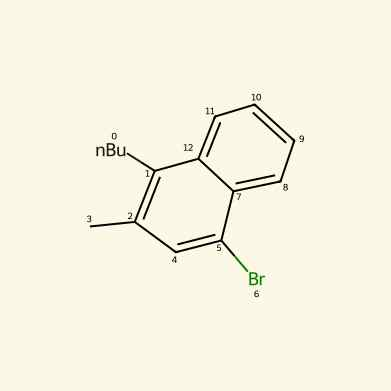 CCCCc1c(C)cc(Br)c2ccccc12